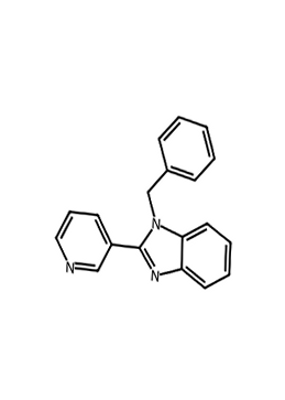 c1ccc(Cn2c(-c3cccnc3)nc3ccccc32)cc1